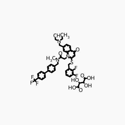 CCN(CC)Cc1ccc2c(=O)cc(SCc3cccc(F)c3F)n(CC(=O)N(C)Cc3ccc(-c4ccc(C(F)(F)F)cc4)cc3)c2c1.O=C(O)C(O)C(O)C(=O)O